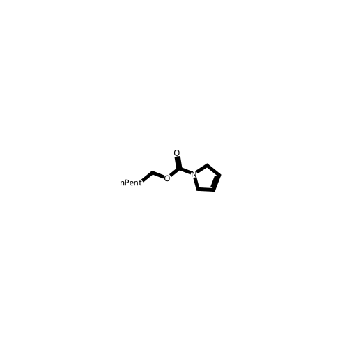 CCCCCCOC(=O)N1CC=CC1